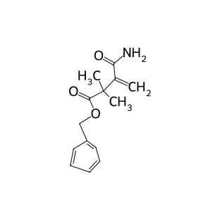 C=C(C(N)=O)C(C)(C)C(=O)OCc1ccccc1